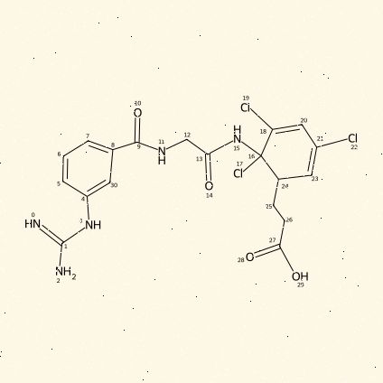 N=C(N)Nc1cccc(C(=O)NCC(=O)NC2(Cl)C(Cl)=CC(Cl)=CC2CCC(=O)O)c1